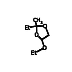 CCOC1COC(C)(CC)O1